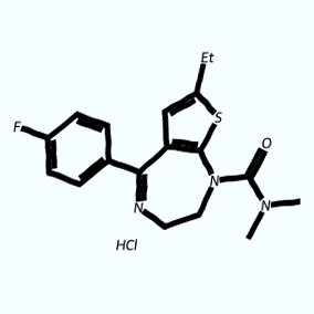 CCc1cc2c(s1)N(C(=O)N(C)C)CCN=C2c1ccc(F)cc1.Cl